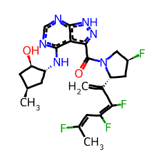 C=C(/C(F)=C(F)\C=C(/C)F)[C@H]1C[C@H](F)CN1C(=O)c1n[nH]c2ncnc(N[C@@H]3C[C@@H](C)C[C@H]3O)c12